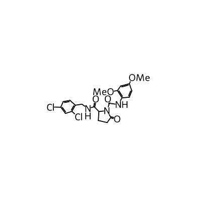 COc1ccc(NC(=O)N2C(=O)CCC2C(=O)NCc2ccc(Cl)cc2Cl)c(OC)c1